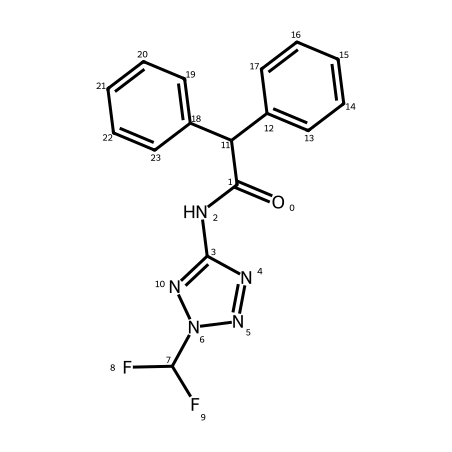 O=C(Nc1nnn(C(F)F)n1)C(c1ccccc1)c1ccccc1